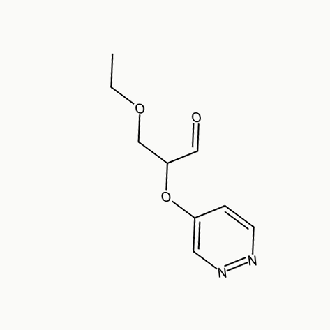 CCOCC(C=O)Oc1ccnnc1